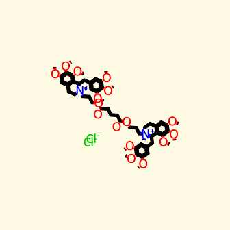 COc1cc(CC2c3c(cc(OC)c(OC)c3OC)CC[N+]2(C)CCCOC(=O)CCCC(=O)OCCC[N+]2(C)CCc3cc(OC)c(OC)c(OC)c3C2Cc2cc(OC)c(OC)c(OC)c2)cc(OC)c1OC.[Cl-].[Cl-]